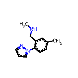 CNCc1cc(C)ccc1-n1cccn1